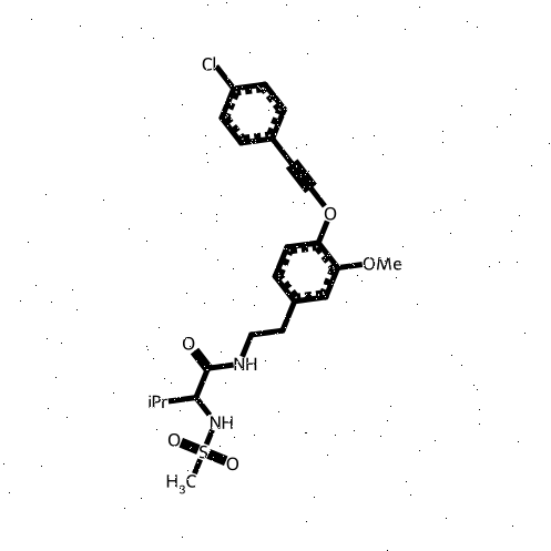 COc1cc(CCNC(=O)C(NS(C)(=O)=O)C(C)C)ccc1OC#Cc1ccc(Cl)cc1